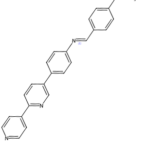 COc1ccc(/C=N/c2ccc(-c3ccc(-c4ccncc4)nc3)cc2)cc1